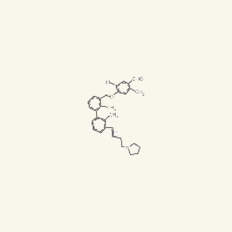 Cc1cc(OCc2cccc(-c3cccc(/C=C/CCN4CCCC4)c3C)c2C)c(Cl)cc1C=O